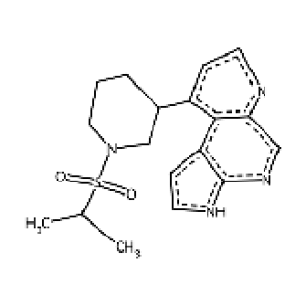 CC(C)S(=O)(=O)N1CCCC(c2ccnc3cnc4[nH]ccc4c23)C1